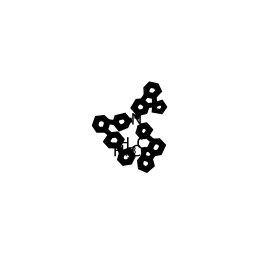 CC1(C)c2ccccc2-c2cccc(-c3ccc(N(c4ccc(-c5ccccc5-c5ccc(-c6ccccc6)cc5)cc4)c4ccc5c(c4)C4(CCCC4)c4ccccc4-5)cc3)c21